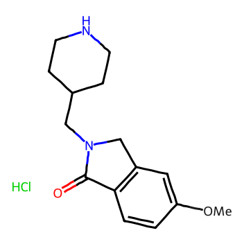 COc1ccc2c(c1)CN(CC1CCNCC1)C2=O.Cl